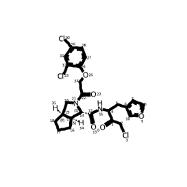 O=C(CCl)C(Cc1ccoc1)NC(=O)[C@@H]1[C@H]2CCC[C@H]2CN1C(=O)COc1ccc(Cl)cc1Cl